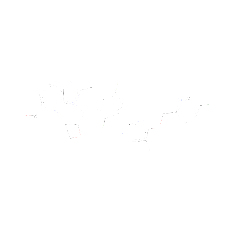 O=C(O)c1ccc2nc(Cc3cc(F)c(-c4ncc(F)c(OCc5ccc(Cl)cn5)n4)cc3F)n(CC3CCO3)c2n1